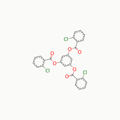 O=C(Oc1cc(OC(=O)c2ccccc2Cl)cc(OC(=O)c2ccccc2Cl)c1)c1ccccc1Cl